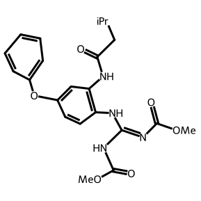 COC(=O)N=C(NC(=O)OC)Nc1ccc(Oc2ccccc2)cc1NC(=O)CC(C)C